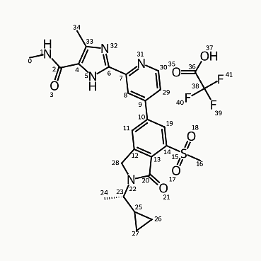 CNC(=O)c1[nH]c(-c2cc(-c3cc4c(c(S(C)(=O)=O)c3)C(=O)N([C@@H](C)C3CC3)C4)ccn2)nc1C.O=C(O)C(F)(F)F